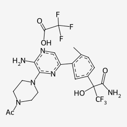 CC(=O)N1CCN(c2nc(-c3cc(C(O)(C(N)=O)C(F)(F)F)ccc3C)cnc2N)CC1.O=C(O)C(F)(F)F